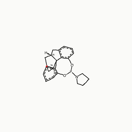 c1cc2c3c(c1)OP(N1CCCC1)Oc1cccc4c1C31[C@H](CC[C@@H]1C4)C2